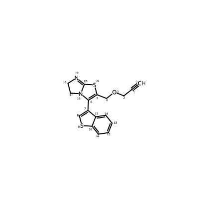 C#CCOCC1=C(c2csc3ccccc23)N2CCN=C2S1